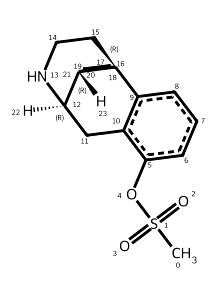 CS(=O)(=O)Oc1cccc2c1C[C@H]1NCC[C@@]23CCCC[C@@H]13